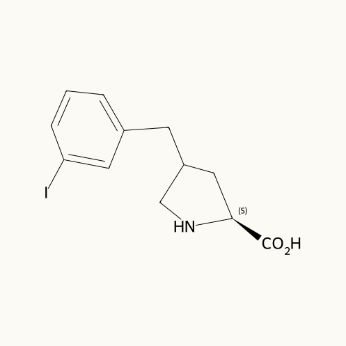 O=C(O)[C@@H]1CC(Cc2cccc(I)c2)CN1